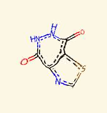 O=c1[nH][nH]c(=O)c2s[c]nc12